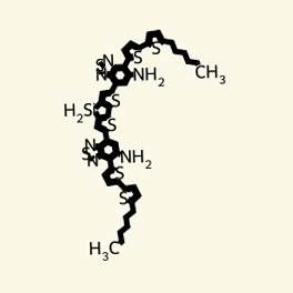 CCCCCCc1ccc(-c2ccc(-c3c(N)cc(-c4cc5c(s4)-c4sc(-c6cc(N)c(-c7ccc(-c8ccc(CCCCCC)s8)s7)c7nsnc67)cc4[SiH2]5)c4nsnc34)s2)s1